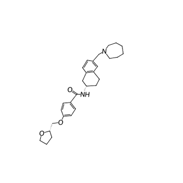 O=C(N[C@H]1CCc2cc(CN3CCCCCC3)ccc2C1)c1ccc(OC[C@@H]2CCCO2)cc1